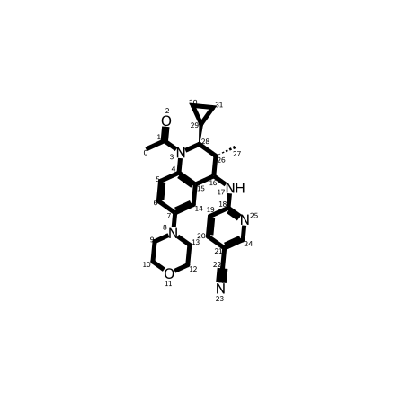 CC(=O)N1c2ccc(N3CCOCC3)cc2C(Nc2ccc(C#N)cn2)[C@@H](C)[C@@H]1C1CC1